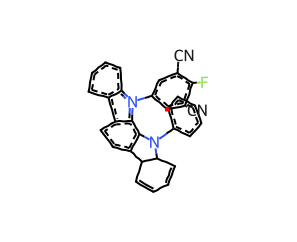 N#Cc1cc(-n2c3ccccc3c3ccc4c(c32)N(c2ccccc2)C2C=CC=CC42)cc(C#N)c1F